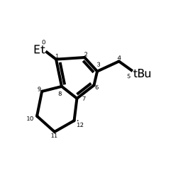 CCc1cc(CC(C)(C)C)cc2c1CCC[CH]2